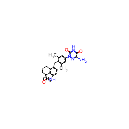 Cc1cc(-n2nc(N)c(=O)[nH]c2=O)cc(C)c1Cc1ccc2c3c1CCCC3(C)C(=O)N2